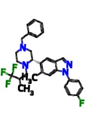 Cc1cc2c(cnn2-c2ccc(F)cc2)cc1[C@H]1CN(Cc2ccccc2)CCN1CC(C)C(F)(F)F